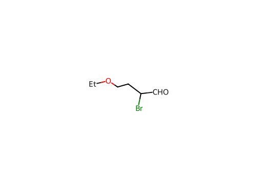 CCOCCC(Br)C=O